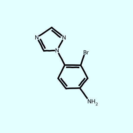 Nc1ccc(-n2cncn2)c(Br)c1